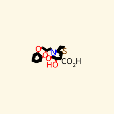 O=C(O)c1c(O)c(=O)n(CC2COc3ccccc3O2)c2ccsc12